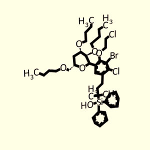 CCCCOC[C@@H]1C[C@H](OCCCC)[C@@H](OCCCC)C(c2cc(CCC(C)(C)[Si](O)(c3ccccc3)c3ccccc3)c(Cl)c(Br)c2OCCCl)O1